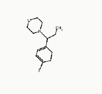 CCC(C1=CC=C(F)CC1)N1CCOCC1